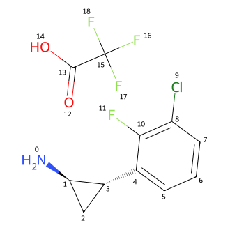 N[C@@H]1C[C@H]1c1cccc(Cl)c1F.O=C(O)C(F)(F)F